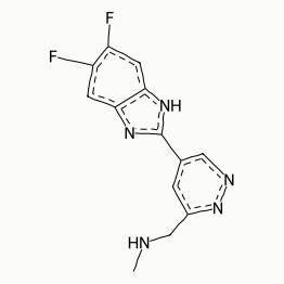 CNCc1cc(-c2nc3cc(F)c(F)cc3[nH]2)cnn1